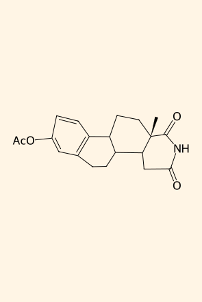 CC(=O)Oc1ccc2c(c1)CCC1C2CC[C@]2(C)C(=O)NC(=O)CC12